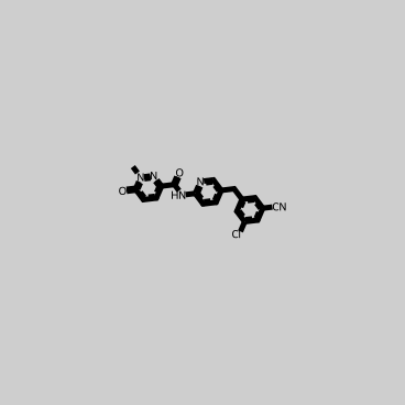 Cn1nc(C(=O)Nc2ccc(Cc3cc(Cl)cc(C#N)c3)cn2)ccc1=O